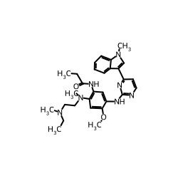 CCC(=O)Nc1cc(Nc2nccc(-c3cn(C)c4ccccc34)n2)c(OC)cc1N(C)CCN(C)CC